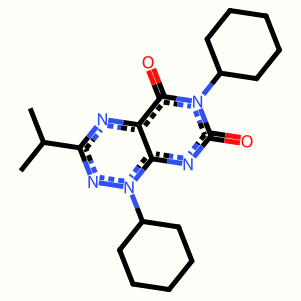 CC(C)c1nc2c(=O)n(C3CCCCC3)c(=O)nc-2n(C2CCCCC2)n1